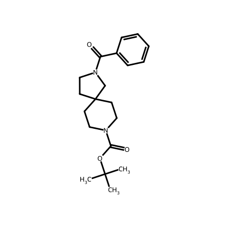 CC(C)(C)OC(=O)N1CCC2(CC1)CCN(C(=O)c1ccccc1)C2